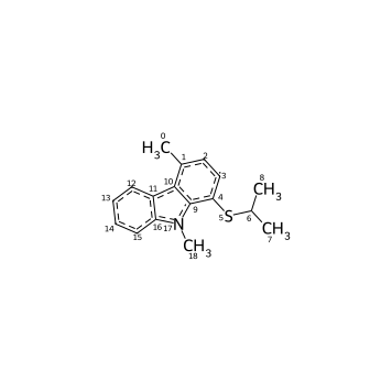 Cc1c[c]c(SC(C)C)c2c1c1ccccc1n2C